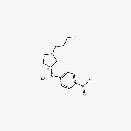 Cl.O=C(Cl)c1ccc(O[C@H]2CCN(CCCF)C2)cc1